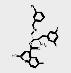 CCc1cccc(CNC[C@@H](OC(=O)c2cc(O)nc3ccc(F)cc23)[C@@H](N)Cc2cc(F)cc(F)c2)c1